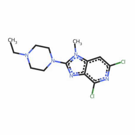 CCN1CCN(c2nc3c(Cl)nc(Cl)cc3n2C)CC1